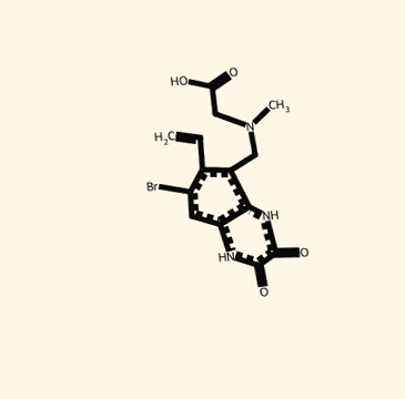 C=Cc1c(Br)cc2[nH]c(=O)c(=O)[nH]c2c1CN(C)CC(=O)O